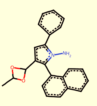 CC1OC(c2cc(-c3ccccc3)n(N)c2-c2cccc3ccccc23)O1